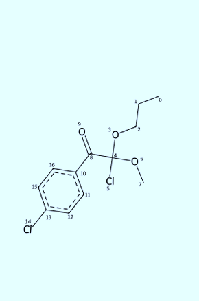 CCCOC(Cl)(OC)C(=O)c1ccc(Cl)cc1